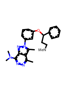 CNCCC(Oc1cccc(-n2nc3c(N(C)C)nnc(C)c3c2C)c1)c1ccccc1